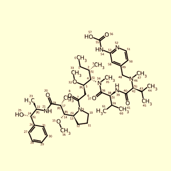 CC[C@H](C)[C@@H]([C@@H](CC(=O)N1CCC[C@H]1[C@H](OC)[C@@H](C)C(=O)N[C@H](C)[C@@H](O)c1ccccc1)OC)N(C)C(=O)[C@@H](NC(=O)[C@H](C(C)C)N(C)Cc1ccnc(NC(=O)O)c1)C(C)C